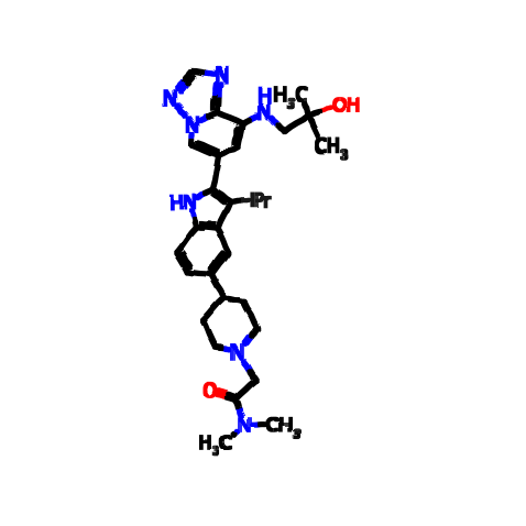 CC(C)c1c(-c2cc(NCC(C)(C)O)c3ncnn3c2)[nH]c2ccc(C3CCN(CC(=O)N(C)C)CC3)cc12